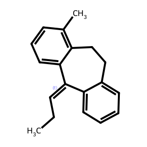 CC/C=C1\c2ccccc2CCc2c(C)cccc21